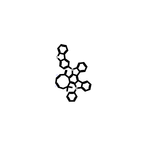 C=C1/C=C\C=C/CC(C)(C)c2c1c1c(c3ccccc3n1-c1ccc3sc4ccccc4c3c1)c1c3ccccc3n(-c3ccccc3)c21